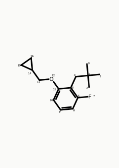 CC(C)(C)Cc1c(F)cccc1OCC1CC1